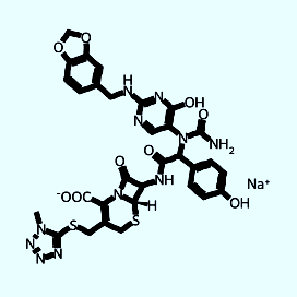 Cn1nnnc1SCC1=C(C(=O)[O-])N2C(=O)C(NC(=O)C(c3ccc(O)cc3)N(C(N)=O)c3cnc(NCc4ccc5c(c4)OCO5)nc3O)[C@@H]2SC1.[Na+]